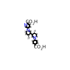 C[C@@H]1CCN(c2ccc(C(=O)O)cc2)CC1C1CN(c2ccc(C(=O)O)nc2)CC[C@@H]1C